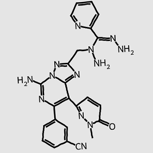 Cn1nc(-c2c(-c3cccc(C#N)c3)nc(N)n3nc(CN(N)/C(=N\N)c4ccccn4)nc23)ccc1=O